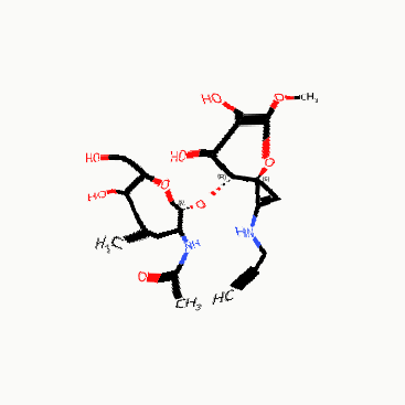 C#CCNC1=C[C@]12OC(OC)C(O)C(O)[C@H]2O[C@H]1OC(CO)C(O)C(C)C1NC(C)=O